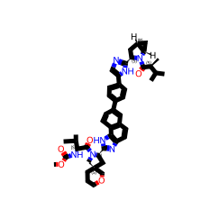 COC(=O)N[C@H](C(=O)N1C[C@]2(CCCOC2)C[C@H]1c1nc2ccc3cc(-c4ccc(-c5cnc([C@@H]6C[C@H]7C[C@H]7N6C(=O)[C@@H](C)C(C)C)[nH]5)cc4)ccc3c2[nH]1)C(C)C